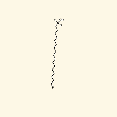 OC(F)(F)CCCCCCCCCCCCCCCCCF